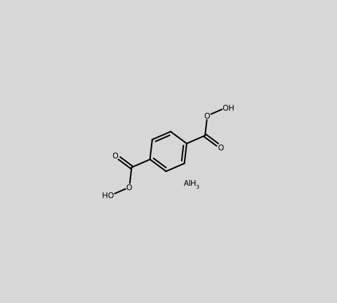 O=C(OO)c1ccc(C(=O)OO)cc1.[AlH3]